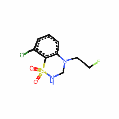 O=S1(=O)NCN(CCF)c2cccc(Cl)c21